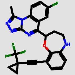 Cc1nnc2nc(C3CCNc4cccc(C#CC5(C(F)(F)F)CC5)c4O3)c3cc(F)ccc3n12